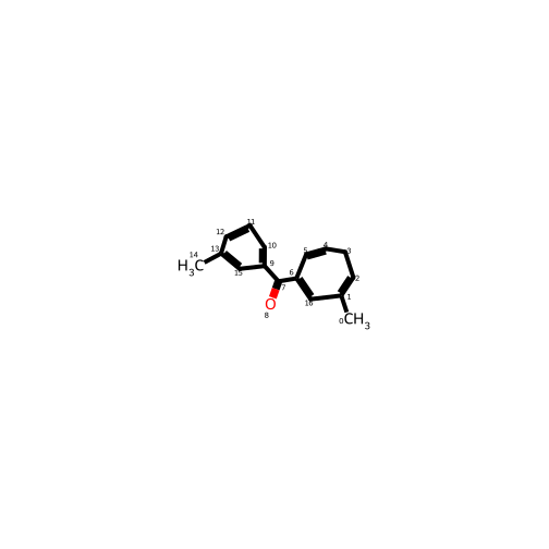 CC1=CCC=CC(C(=O)c2cccc(C)c2)=C1